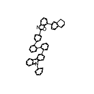 C1=Cc2ccc(-c3cccc4nc(-c5ccc(-c6ccccc6-c6ccccc6-c6ccc7c(c6)c6ccccc6n7-c6ccccc6)cc5)oc34)cc2CC1